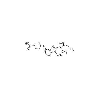 CCn1ncc(-c2nc3c(OC4CCN(C(=O)O)CC4)ncnc3n2C)c1C